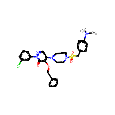 CN(C)c1ccc(CS(=O)(=O)N2CCN(c3cnn(-c4cccc(Cl)c4)c(=O)c3OCc3ccccc3)CC2)cc1